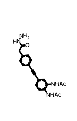 CC(=O)Nc1ccc(C#Cc2ccc(CC(=O)NN)cc2)cc1NC(C)=O